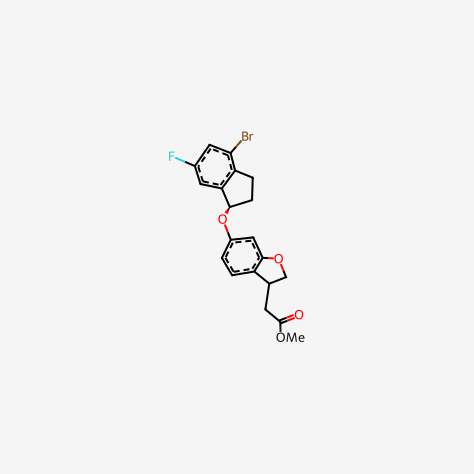 COC(=O)CC1COc2cc(O[C@@H]3CCc4c(Br)cc(F)cc43)ccc21